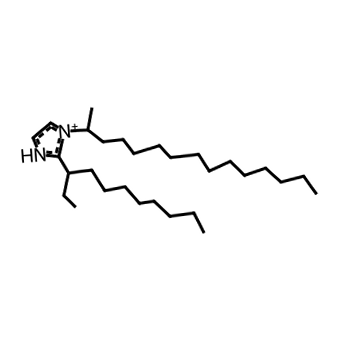 CCCCCCCCCCCCCC(C)[n+]1cc[nH]c1C(CC)CCCCCCCC